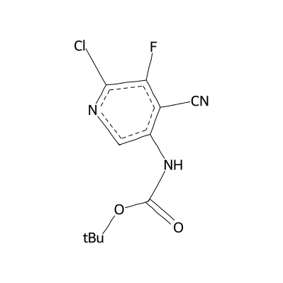 CC(C)(C)OC(=O)Nc1cnc(Cl)c(F)c1C#N